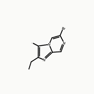 [CH2]c1c(CC)nc2cnc(Br)cn12